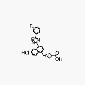 Cl.O=C(O)C1CN(Cc2ccc(-c3noc(-c4cccc(F)c4)n3)c3ccccc23)C1